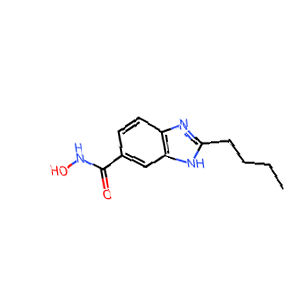 CCCCc1nc2ccc(C(=O)NO)cc2[nH]1